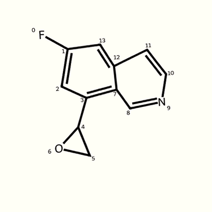 Fc1cc(C2CO2)c2cnccc2c1